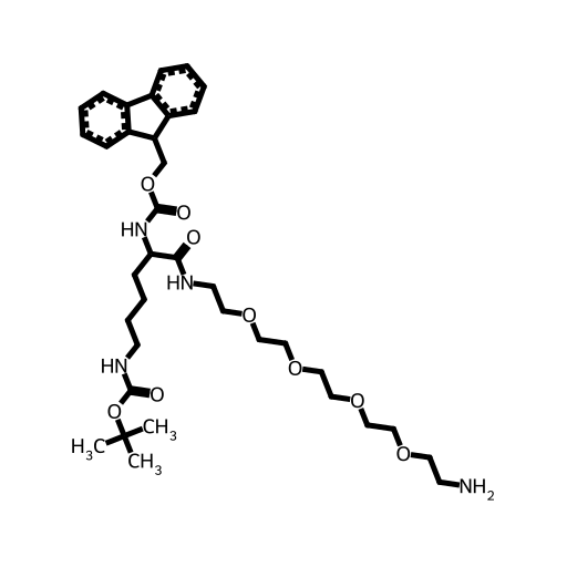 CC(C)(C)OC(=O)NCCCCC(NC(=O)OCC1c2ccccc2-c2ccccc21)C(=O)NCCOCCOCCOCCOCCN